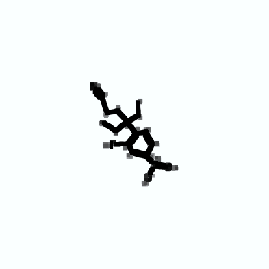 CCC(CC)(CCC#N)c1ccc([N+](=O)[O-])cc1F